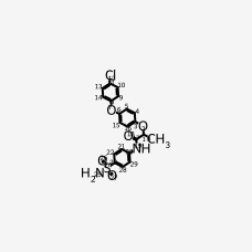 CC(Oc1ccc(Oc2ccc(Cl)cc2)cc1)C(=O)Nc1ccc(S(N)(=O)=O)cc1